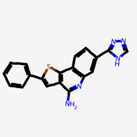 Nc1nc2cc(-c3nnc[nH]3)ccc2c2sc(-c3ccccc3)cc12